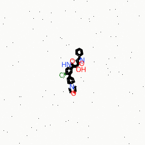 O=C1Nc2cc(Cl)c(-c3ccc(N4CCOCC4)cc3)cc2C1=C(O)c1cc(C2CCCCC2)no1